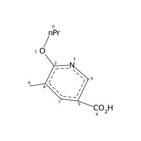 CCCOc1ncc(C(=O)O)cc1C